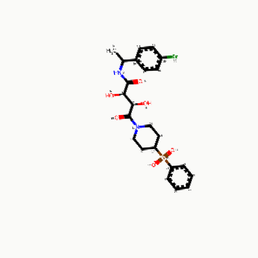 CC(NC(=O)[C@H](O)[C@@H](O)C(=O)N1CCC(S(=O)(=O)c2ccccc2)CC1)c1ccc(Br)cc1